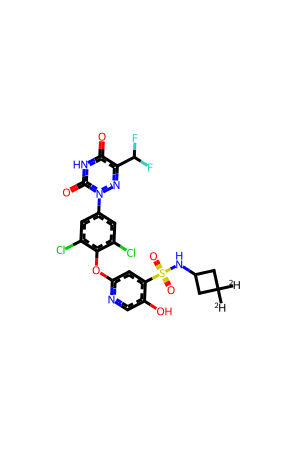 [2H]C1([2H])CC(NS(=O)(=O)c2cc(Oc3c(Cl)cc(-n4nc(C(F)F)c(=O)[nH]c4=O)cc3Cl)ncc2O)C1